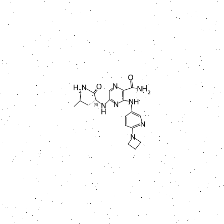 CC(C)C[C@@H](Nc1cnc(C(N)=O)c(Nc2ccc(N3CCC3)nc2)n1)C(N)=O